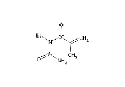 C=C(C)[S+]([O-])N(CC)C(N)=O